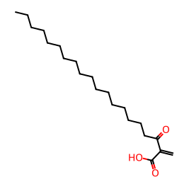 C=C(C(=O)O)C(=O)CCCCCCCCCCCCCCCCC